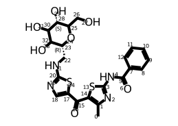 Cc1nc(NC(=O)c2ccccc2)sc1C(=O)c1cnc(NC[C@H]2OC(CO)[C@@H](O)C(O)C2O)s1